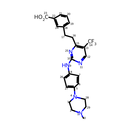 CN1CCN(c2ccc(Nc3ncc(C(F)(F)F)c(CCc4cccc(C(=O)O)c4)n3)cc2)CC1